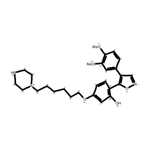 COc1ccc(-c2cnoc2-c2ccc(OCCCCCCN3CCNCC3)cc2O)cc1OC